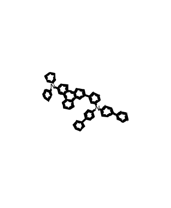 c1ccc(-c2ccc(N(c3ccc(-c4ccccc4)cc3)c3cccc(-c4ccc5c6ccc(N(c7ccccc7)c7ccccc7)cc6c6ccccc6c5c4)c3)cc2)cc1